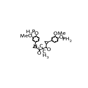 COc1cc(C2CC2C(=O)C(C)(C)C(=O)C2CC2c2ccc(OP)c(OC)c2)ccc1OP